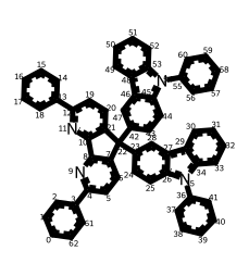 c1ccc(-c2ccc3c(n2)-c2nc(-c4ccccc4)ccc2C3(c2ccc3c(c2)c2ccccc2n3-c2ccccc2)c2ccc3c(c2)c2ccccc2n3-c2ccccc2)cc1